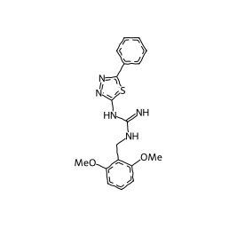 COc1cccc(OC)c1CNC(=N)Nc1nnc(-c2ccccc2)s1